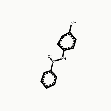 CCCc1ccc(N[S+]([O-])c2ccccc2)cc1